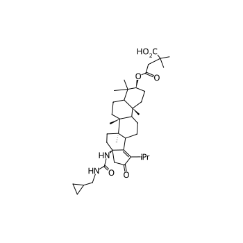 CC(C)C1=C2C3CCC4[C@@]5(C)CC[C@H](OC(=O)CC(C)(C)C(=O)O)C(C)(C)C5CC[C@@]4(C)[C@]3(C)CC[C@@]2(NC(=O)NCC2CC2)CC1=O